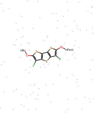 CCCCCOc1sc2c(sc3c(F)c(OCCCC)sc32)c1F